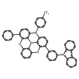 FC(F)(F)c1ccc(N2c3ccc(-c4ccccc4)c4c3B3c5c(cccc5Oc5c(-c6cccc(-n7c8ccccc8c8ccccc87)c6)ccc2c53)O4)cc1